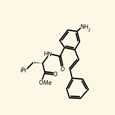 COC(=O)[C@H](CC(C)C)NC(=O)c1ccc(N)cc1C=Cc1ccccc1